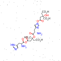 N[C@@H](Cc1cnc[nH]1)C(=O)OC(=O)CC(CC(=O)O)(OC(=O)[C@@H](N)Cc1cn(OC(=O)CC(O)(CC(=O)O)C(=O)O)cn1)C(=O)O